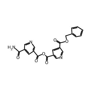 NC(=O)c1cncc(C(=O)OC(=O)c2cncc(C(=O)OCc3ccccc3)c2)c1